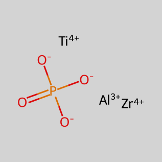 O=P([O-])([O-])[O-].[Al+3].[Ti+4].[Zr+4]